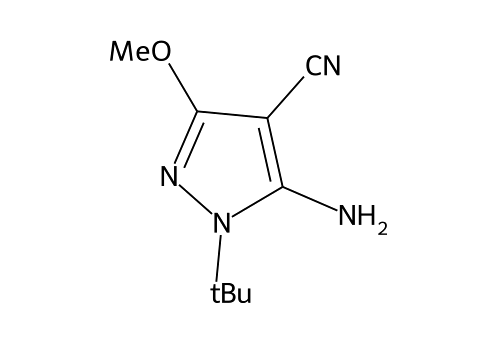 COc1nn(C(C)(C)C)c(N)c1C#N